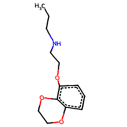 CCCNCCOc1cccc2c1OCCO2